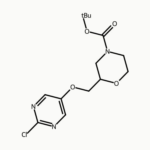 CC(C)(C)OC(=O)N1CCOC(COc2cnc(Cl)nc2)C1